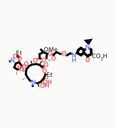 CCC(=O)O[C@H]1[C@H](O[C@@H]2[C@@H](C)[C@H](O[C@H]3C[C@@](C)(OC)[C@@H](OC(=O)CCOCCNc4ccc5c(c4)c(=O)c(C(=O)O)cn5C4CC4)[C@H](C)O3)[C@@H](C)C(=O)O[C@H](CC)[C@@](C)(O)[C@H](O)[C@@H](C)N(C)C[C@H](C)C[C@@]2(C)O)O[C@H](C)C[C@@H]1N(C)C